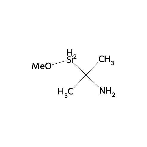 CO[SiH2]C(C)(C)N